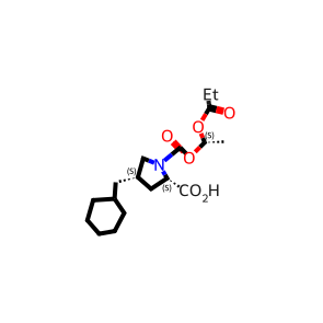 CCC(=O)O[C@H](C)OC(=O)N1C[C@@H](CC2CCCCC2)C[C@H]1C(=O)O